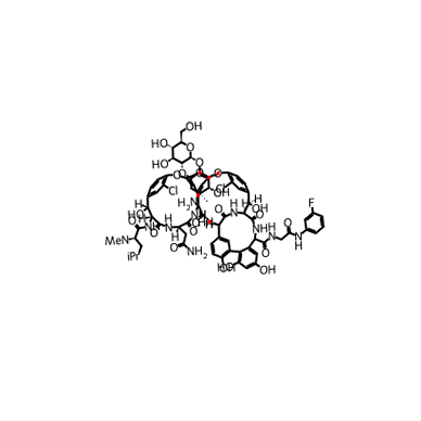 CN[C@H](CC(C)C)C(=O)N[C@H]1C(=O)N[C@@H](CC(N)=O)C(=O)NC2C(=O)N[C@H]3C(=O)N[C@H](C(=O)NC(C(=O)NCC(=O)Nc4cccc(F)c4)c4cc(O)cc(O)c4-c4cc3ccc4O)[C@H](O)c3ccc(c(Cl)c3)Oc3cc2cc(c3O[C@@H]2O[C@H](CO)[C@@H](O)[C@H](O)[C@H]2OC2C[C@](C)(N)[C@H](O)[C@H](C)O2)Oc2ccc(cc2Cl)[C@H]1O